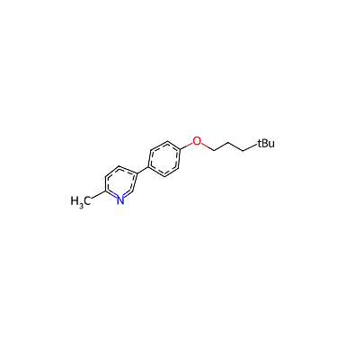 Cc1ccc(-c2ccc(OCCCC(C)(C)C)cc2)cn1